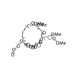 COCCO[C@@H]1CC[C@@H](C[C@@H](C)[C@@H]2CC(=O)[C@H](C)/C=C(\C)[C@@H](OC)[C@@H](OC)C(=O)[C@H](C)C[C@H](C)/C=C/C=C/C=C(\C)[C@@H](OCCOCCOC3COC3)C[C@@H]3CC[C@@H](C)[C@@](O)(O3)C(=O)C(=O)N3CCCC[C@H]3CO2)C[C@H]1OC